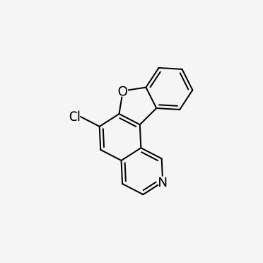 Clc1cc2ccncc2c2c1oc1ccccc12